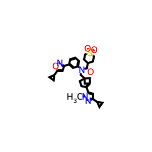 Cn1nc(C2CC2)cc1C1=C2CC(CN(C(=O)C3CCS(=O)(=O)CC3)c3cccc(-c4cc(C5CC5)on4)c3)(CC1)C2